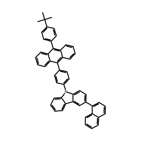 CC(C)(C)c1ccc(-c2c3ccccc3c(-c3ccc(-n4c5ccccc5c5cc(-c6cccc7ccccc67)ccc54)cc3)c3ccccc23)cc1